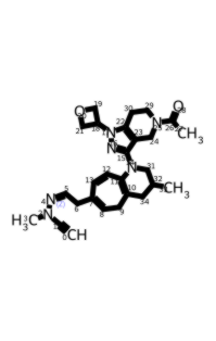 C#CN(C)/N=C\CC1=CCC2=C(C=C1)N(c1nn(C3COC3)c3c1CN(C(C)=O)CC3)CC(C)C2